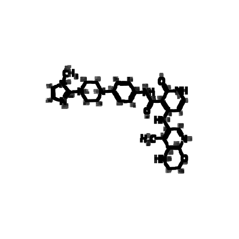 Cc1c(Nc2cc[nH]c(=O)c2C(=O)Nc2ccc(N3CCN(c4nccn4C)CC3)cc2)cnc2c1NCCO2